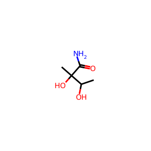 CC(O)C(C)(O)C(N)=O